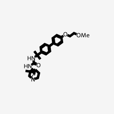 COCCOc1ccc(-c2ccc(C(C)(C)NC(=O)NC3(C)CN4CCC3CC4)cc2)cc1